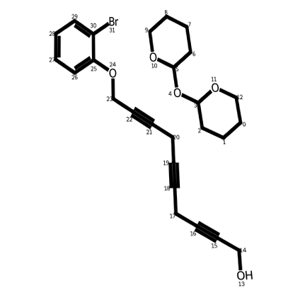 C1CCC(OC2CCCCO2)OC1.OCC#CCC#CCC#CCOc1ccccc1Br